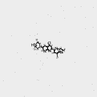 Cc1cn2nc(-c3cc(Cl)c4cc(N5C[C@@H](C)N[C@@H](C)C5)cnc4n3)cc(C)c2n1